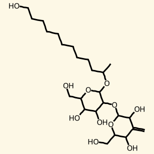 C=C1C(O)C(CO)OC(OC2C(OC(C)CCCCCCCCCCO)OC(CO)C(O)C2O)C1O